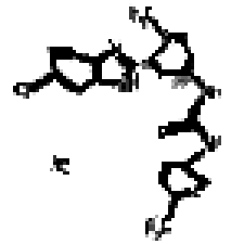 CN1CC[C@@H](NC(=O)Nc2ccc(C(F)(F)F)nc2)C[C@@H]1c1nc2ccc(Cl)cc2[nH]1.Cl